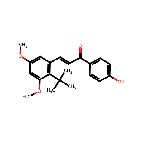 COc1cc(C=CC(=O)c2ccc(O)cc2)c(C(C)(C)C)c(OC)c1